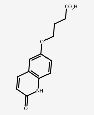 O=C(O)CCCOc1ccc2[nH]c(=O)ccc2c1